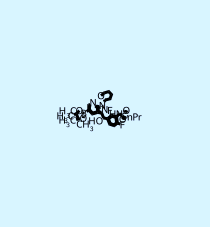 CCCS(=O)(=O)Nc1c(F)ccc(C(O)c2nn(C3CCCCO3)c3ncc(B4OC(C)(C)C(C)(C)O4)cc23)c1F